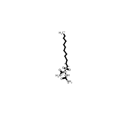 CCCCCCCCCCCCS(=O)(=O)N(NC(N)=O)C(N)=O